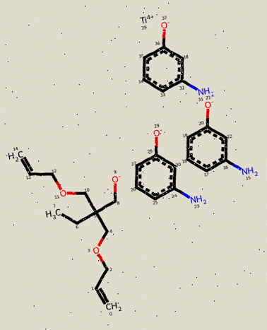 C=CCOCC(CC)(C[O-])COCC=C.Nc1cccc([O-])c1.Nc1cccc([O-])c1.Nc1cccc([O-])c1.[Ti+4]